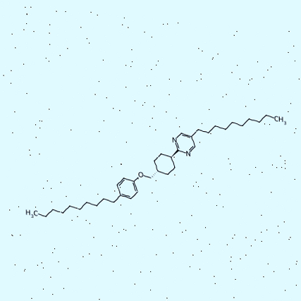 CCCCCCCCCCc1ccc(OC[C@H]2CC[C@H](c3ncc(CCCCCCCCCC)cn3)CC2)cc1